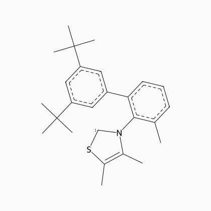 CC1=C(C)N(c2c(C)cccc2-c2cc(C(C)(C)C)cc(C(C)(C)C)c2)[C]S1